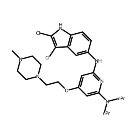 CCCN(CCC)c1cc(OCCN2CCN(C)CC2)cc(Nc2ccc3[nH]c(Cl)c(Cl)c3c2)n1